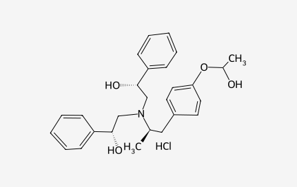 CC(O)Oc1ccc(C[C@@H](C)N(C[C@H](O)c2ccccc2)C[C@H](O)c2ccccc2)cc1.Cl